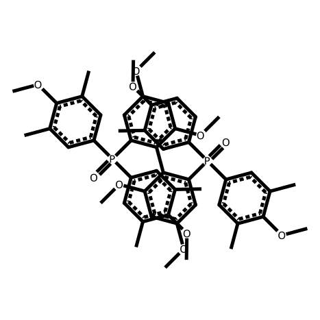 COc1cc(OC)c(-c2c(OC)cc(OC)cc2P(=O)(c2cc(C)c(OC)c(C)c2)c2cc(C)c(OC)c(C)c2)c(P(=O)(c2ccc(OC)c(C)c2)c2cc(C)c(OC)c(C)c2)c1